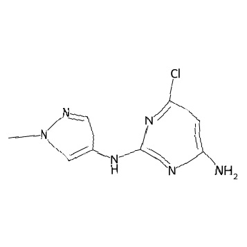 Cn1cc(Nc2nc(N)cc(Cl)n2)cn1